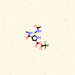 CNC(=O)[C@@H]1C[C@H](C(=O)OC(=O)C(F)(F)F)N[C@H]1CNC(C)=O